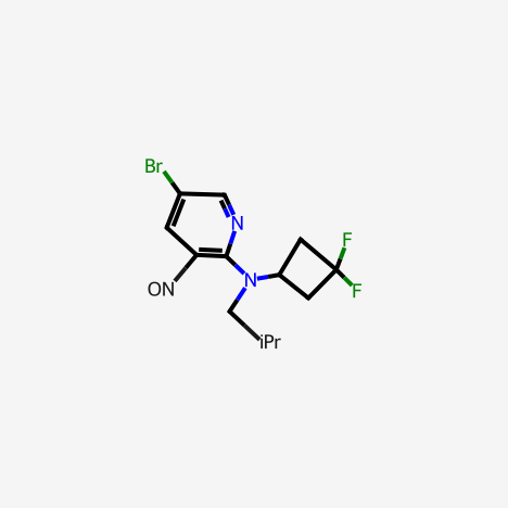 CC(C)CN(c1ncc(Br)cc1N=O)C1CC(F)(F)C1